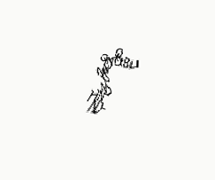 Cc1ccnc(Nc2cccc(-c3cnc(N4CCN(CC(=O)OC(C)(C)C)C(=O)C4)s3)n2)c1